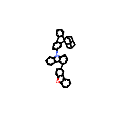 c1ccc2c(c1)-c1ccc(-n3c4ccccc4c4c(-c5ccc6oc7ccccc7c6c5)cccc43)cc1C21C2CC3CC(C2)CC1C3